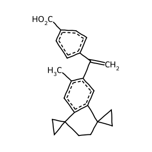 C=C(c1ccc(C(=O)O)cc1)c1cc2c(cc1C)C1(CC1)CCC21CC1